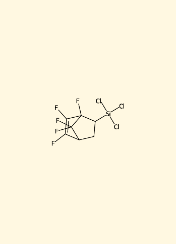 FC1=C(F)C2(F)C([Si](Cl)(Cl)Cl)CC1C2(F)F